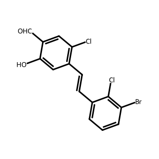 O=Cc1cc(Cl)c(C=Cc2cccc(Br)c2Cl)cc1O